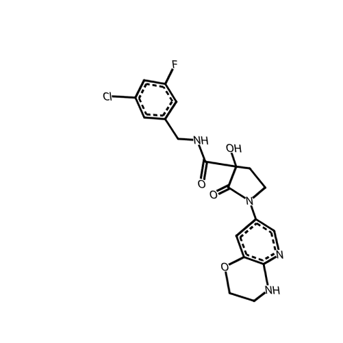 O=C(NCc1cc(F)cc(Cl)c1)C1(O)CCN(c2cnc3c(c2)OCCN3)C1=O